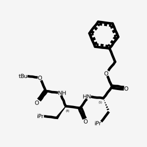 CC(C)C[C@H](NC(=O)[C@@H](CC(C)C)NC(=O)OC(C)(C)C)C(=O)OCc1ccccc1